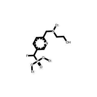 CCOP(=O)(OCC)C(F)c1ccc(CN(CC)CCO)nc1